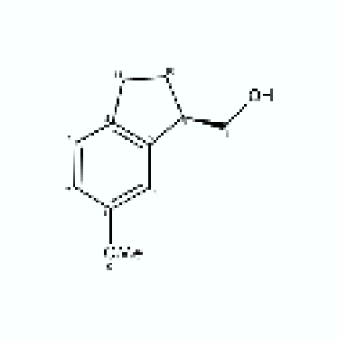 COc1ccc2c(c1)[C@H](CO)CC2